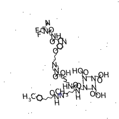 C/C(=N\CCCCC(NC(=O)CN1CCN(CC(=O)O)CCN(CC(=O)O)CCN(CC(=O)O)CC1)C(=O)NCCSC[C@@H](O)C(=O)N1CCN(CCCCOc2ccc3nccc(C(=O)NCC(=O)N4CC(F)(F)C[C@@H]4C#N)c3c2)CC1)NC(=O)CCCc1ccc(C)cc1